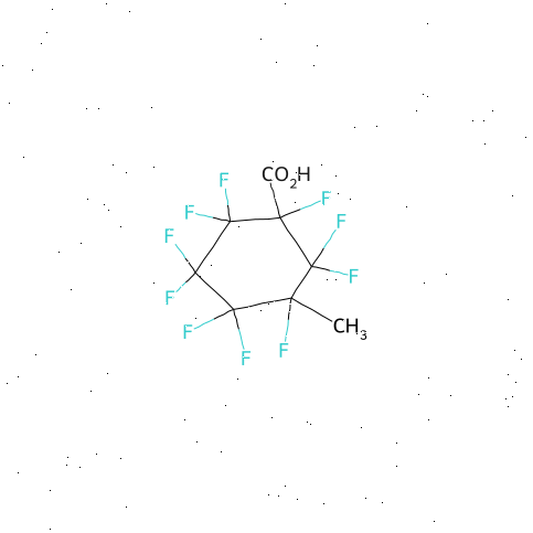 CC1(F)C(F)(F)C(F)(F)C(F)(F)C(F)(C(=O)O)C1(F)F